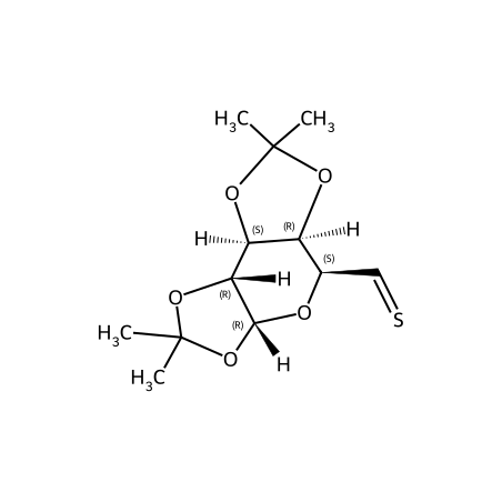 CC1(C)O[C@H]2[C@@H](O1)[C@@H](C=S)O[C@@H]1OC(C)(C)O[C@@H]12